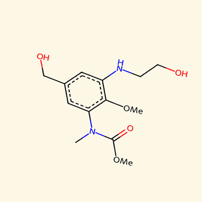 COC(=O)N(C)c1cc(CO)cc(NCCO)c1OC